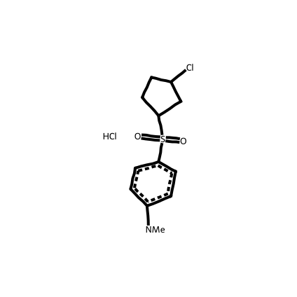 CNc1ccc(S(=O)(=O)C2CCC(Cl)C2)cc1.Cl